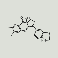 Cc1cc2c(cc1C)C(=O)C1(O)CCN(c3ccc4c(c3)OCCN4)C1=N2